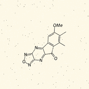 COc1cc2c(c(C)c1C)C(=O)c1nc3nonc3nc1-2